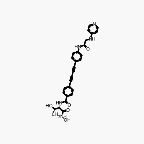 C[C@@H](O)[C@H](NC(=O)c1ccc(C#CC#Cc2ccc(NC(=O)CNc3ccncc3)cc2)cc1)C(=O)NO